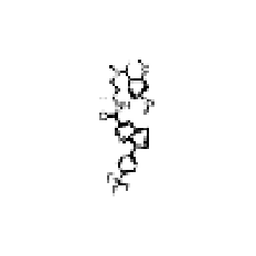 COc1ccc(C(C)N(C)CC[C@@H](C)NC(=O)c2cnc3c(-c4ccc(C(F)(F)F)cc4)cccc3c2)c(OC)c1